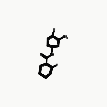 Nc1cc(NC(=O)c2ccccc2F)ccc1F